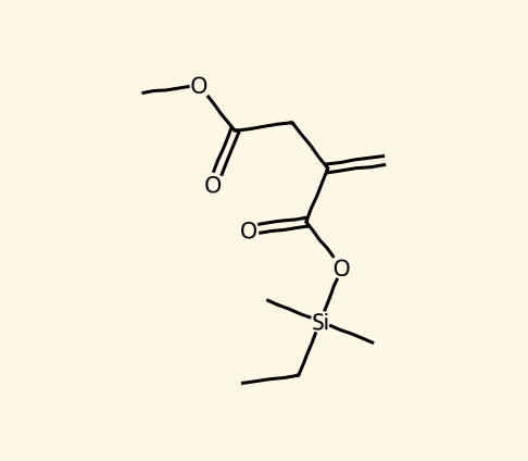 C=C(CC(=O)OC)C(=O)O[Si](C)(C)CC